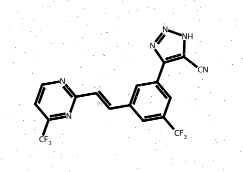 N#Cc1[nH]nnc1-c1cc(/C=C/c2nccc(C(F)(F)F)n2)cc(C(F)(F)F)c1